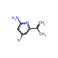 C=C(C)c1cc(Br)cc(N)n1